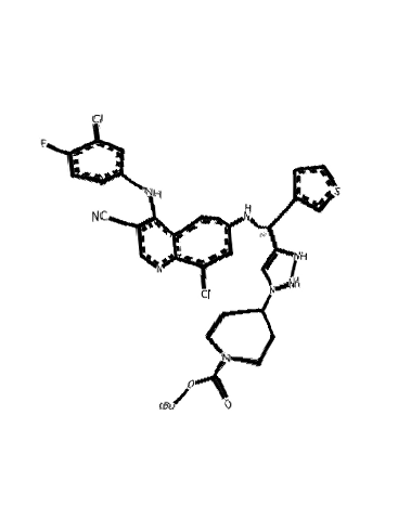 CC(C)(C)OC(=O)N1CCC(N2C=C([C@@H](Nc3cc(Cl)c4ncc(C#N)c(Nc5ccc(F)c(Cl)c5)c4c3)c3ccsc3)NN2)CC1